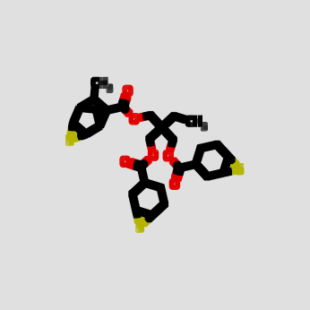 CCC(COC(=O)C1CCC2SC2C1)(COC(=O)C1CCC2SC2C1)COC(=O)C1C(C)C2CC1C1SC21